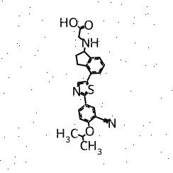 CC(C)Oc1ccc(-c2ncc(-c3cccc4c3CCC4NCC(=O)O)s2)cc1C#N